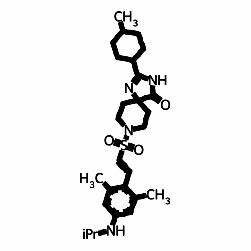 Cc1cc(NC(C)C)cc(C)c1/C=C/S(=O)(=O)N1CCC2(CC1)N=C(C1CCC(C)CC1)NC2=O